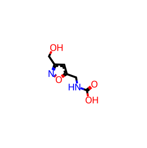 O=C(O)NCc1cc(CO)no1